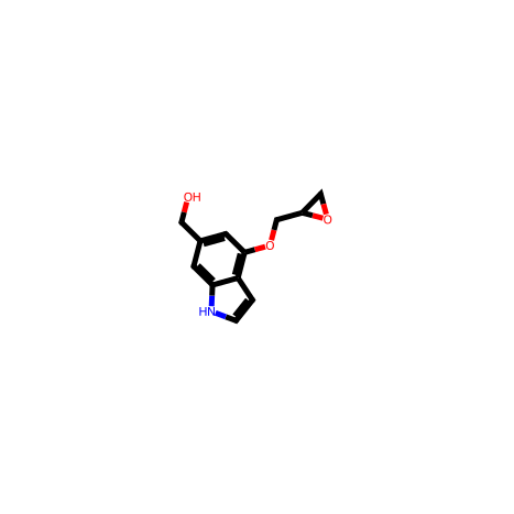 OCc1cc(OCC2CO2)c2cc[nH]c2c1